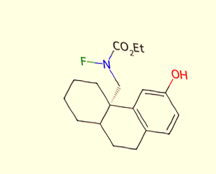 CCOC(=O)N(F)C[C@@]12CCCCC1CCc1ccc(O)cc12